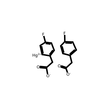 O=C([O-])Cc1ccc(F)cc1.O=C([O-])Cc1ccc(F)cc1.[Hg+2]